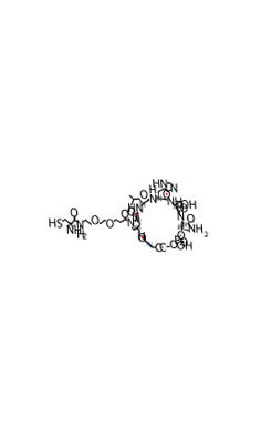 CC(C)C[C@@H]1NC(=O)[C@@H]2C[C@H](CN2C(=O)CCOCCOCCNC(=O)[C@@H](N)CS)O/C=C\CCCOP(=O)(O)O[C@H](C)[C@@H](C(N)=O)NC(=O)[C@H](CO)NC(=O)[C@H](Cc2cnc[nH]2)NC1=O